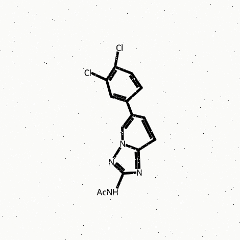 CC(=O)Nc1nc2ccc(-c3ccc(Cl)c(Cl)c3)cn2n1